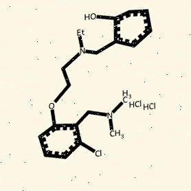 CCN(CCOc1cccc(Cl)c1CN(C)C)Cc1ccccc1O.Cl.Cl